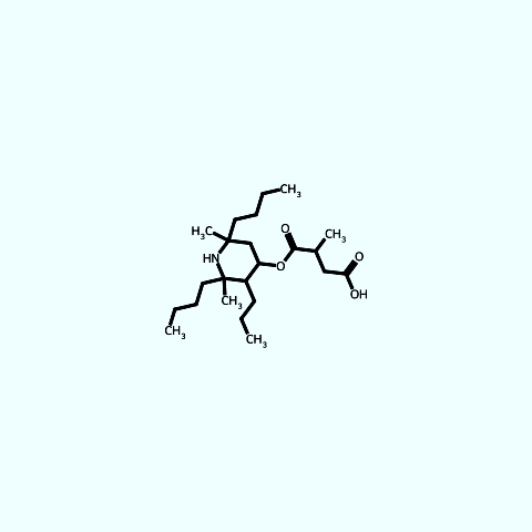 CCCCC1(C)CC(OC(=O)C(C)CC(=O)O)C(CCC)C(C)(CCCC)N1